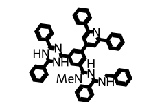 CNC(NC(NCc1ccccc1)c1ccccc1)C1=CC(c2cc(-c3ccccc3)nc(-c3ccccc3)c2)=CC(C2N=C(c3ccccc3)NC(c3ccccc3)N2)C1